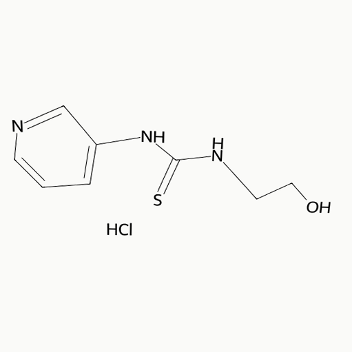 Cl.OCCNC(=S)Nc1cccnc1